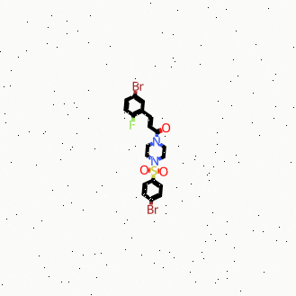 O=C(/C=C/c1cc(Br)ccc1F)N1CCN(S(=O)(=O)c2ccc(Br)cc2)CC1